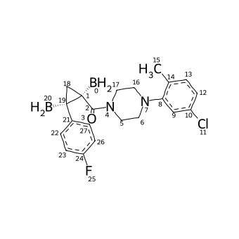 B[C@@]1(C(=O)N2CCN(c3cc(Cl)ccc3C)CC2)C[C@]1(B)c1ccc(F)cc1